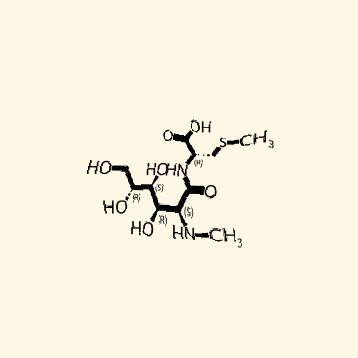 CN[C@H](C(=O)N[C@@H](CSC)C(=O)O)[C@@H](O)[C@H](O)[C@H](O)CO